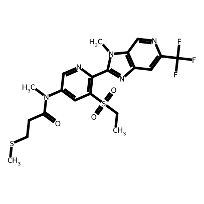 CCS(=O)(=O)c1cc(N(C)C(=O)CCSC)cnc1-c1nc2cc(C(F)(F)F)ncc2n1C